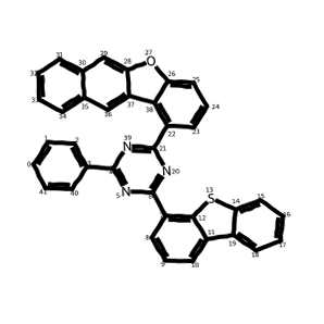 c1ccc(-c2nc(-c3cccc4c3sc3ccccc34)nc(-c3cccc4oc5cc6ccccc6cc5c34)n2)cc1